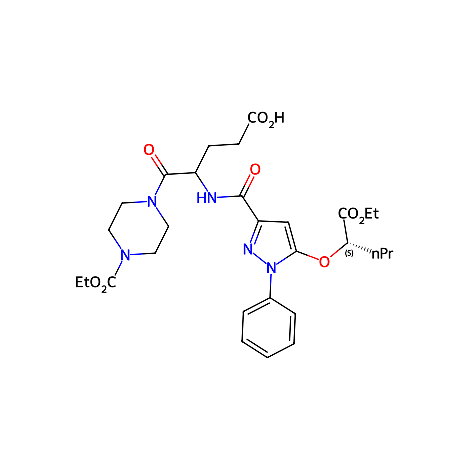 CCC[C@H](Oc1cc(C(=O)NC(CCC(=O)O)C(=O)N2CCN(C(=O)OCC)CC2)nn1-c1ccccc1)C(=O)OCC